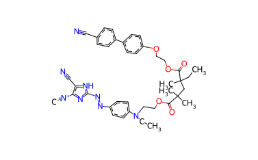 [C-]#[N+]c1nc(/N=N/c2ccc(N(CC)CCOC(=O)C(C)(C)CC(C)(CC)C(=O)OCCOc3ccc(-c4ccc(C#N)cc4)cc3)cc2)[nH]c1C#N